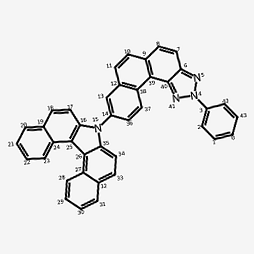 c1ccc(-n2nc3ccc4ccc5cc(-n6c7ccc8ccccc8c7c7c8ccccc8ccc76)ccc5c4c3n2)cc1